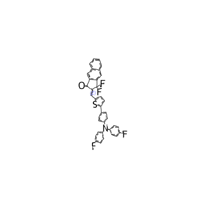 O=C1/C(=C/c2ccc(-c3ccc(N(c4ccc(F)cc4)c4ccc(F)cc4)cc3)s2)C(F)(F)c2cc3ccccc3cc21